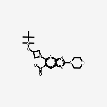 CC(C)(C)[Si](C)(C)OC1CN(c2nc3nc(N4CCOCC4)sc3cc2[N+](=O)[O-])C1